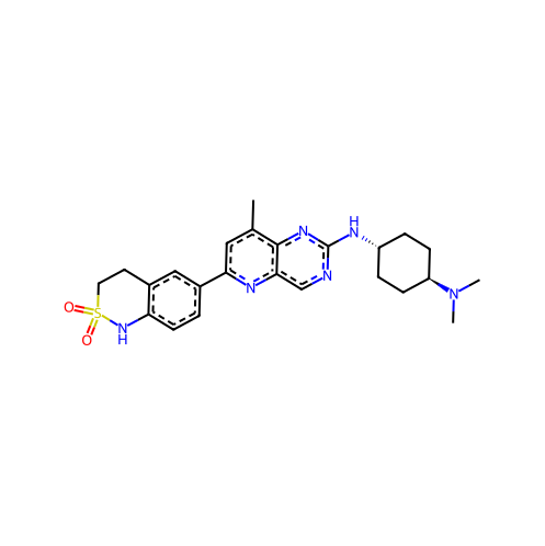 Cc1cc(-c2ccc3c(c2)CCS(=O)(=O)N3)nc2cnc(N[C@H]3CC[C@H](N(C)C)CC3)nc12